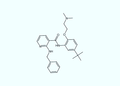 CN(C)CCOc1ccc(C(C)(C)C)cc1NC(=O)c1cccnc1NCc1ccccc1